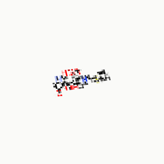 COc1ccc2nccc([C@@H](O)CC[C@@H]3CCN(CCCSc4ccccc4)C[C@@H]3CC(=O)O)c2c1